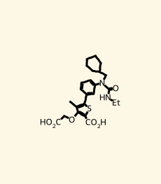 CCNC(=O)N(CC1CCCCC1)c1cccc(-c2sc(C(=O)O)c(OCC(=O)O)c2C)c1